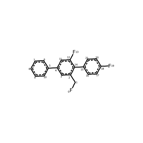 FCc1cc(-c2ccccc2)cc(F)c1-c1ccc(F)cc1